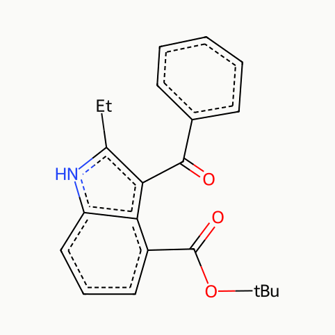 CCc1[nH]c2cccc(C(=O)OC(C)(C)C)c2c1C(=O)c1ccccc1